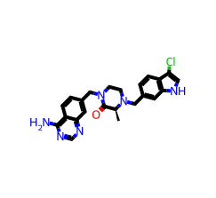 C[C@H]1C(=O)N(Cc2ccc3c(N)ncnc3c2)CCN1Cc1ccc2c(Cl)c[nH]c2c1